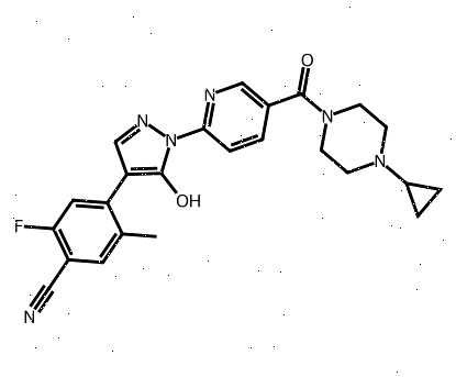 Cc1cc(C#N)c(F)cc1-c1cnn(-c2ccc(C(=O)N3CCN(C4CC4)CC3)cn2)c1O